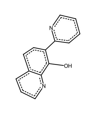 Oc1c(-c2ccccn2)ccc2cccnc12